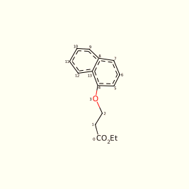 CCOC(=O)CCOc1cccc2ccccc12